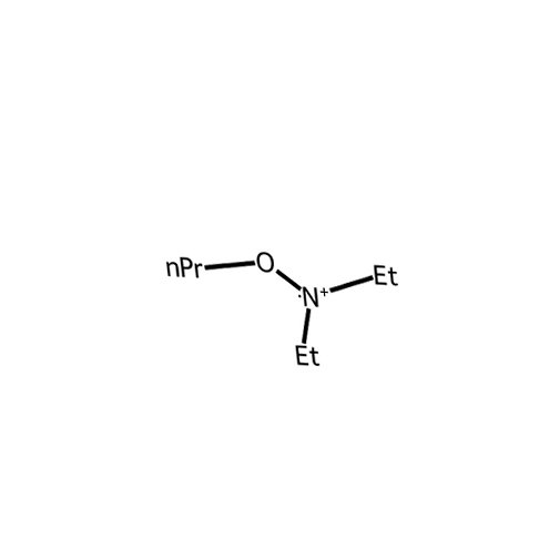 CCCO[N+](CC)CC